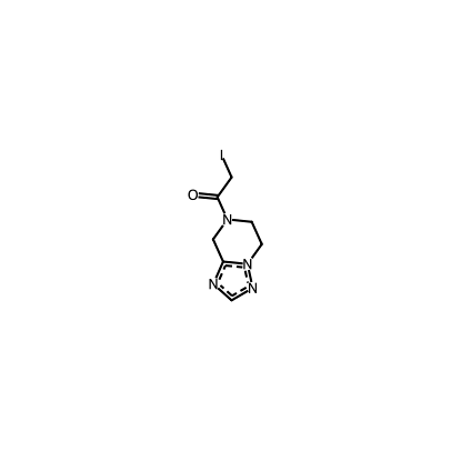 O=C(CI)N1CCn2ncnc2C1